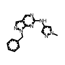 Cn1cc(Nc2ncc3cnn(Cc4ccccc4)c3n2)cn1